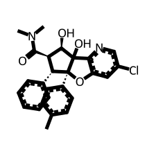 Cc1ccc([C@@]23Oc4cc(Cl)cnc4C2(O)[C@H](O)[C@H](C(=O)N(C)C)[C@H]3c2ccccc2)cc1